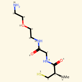 CN[C@@H](CS)C(=O)NCC(=O)NCCOCCN